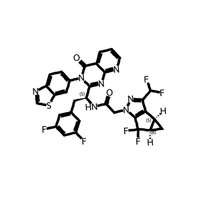 O=C(Cn1nc(C(F)F)c2c1C(F)(F)[C@@H]1C[C@H]21)N[C@@H](Cc1cc(F)cc(F)c1)c1nc2ncccc2c(=O)n1-c1ccc2ncsc2c1